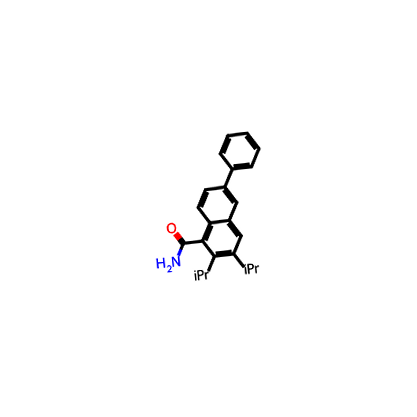 CC(C)c1cc2cc(-c3ccccc3)ccc2c(C(N)=O)c1C(C)C